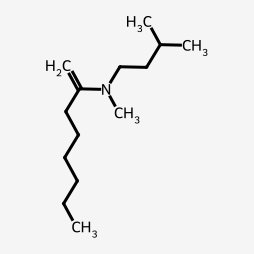 C=C(CCCCCC)N(C)CCC(C)C